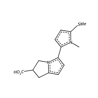 CSc1ccc(-c2ccc3n2CC(C(=O)O)C3)n1C